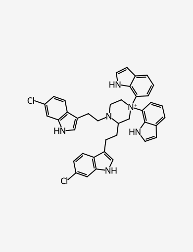 Clc1ccc2c(CCC3C[N+](c4cccc5cc[nH]c45)(c4cccc5cc[nH]c45)CCN3CCc3c[nH]c4cc(Cl)ccc34)c[nH]c2c1